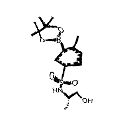 Cc1ccc(S(=O)(=O)N[C@@H](C)CO)cc1B1OC(C)(C)C(C)(C)O1